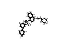 O=C(Nc1ccc(OCCN2CCOCC2)c2ccccc12)c1cccc(-c2ccc(F)cc2)c1